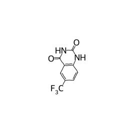 O=c1[nH]c(=O)c2cc(C(F)(F)F)ccc2[nH]1